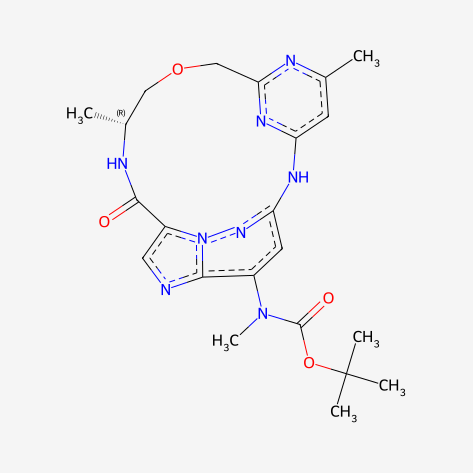 Cc1cc2nc(n1)COC[C@@H](C)NC(=O)c1cnc3c(N(C)C(=O)OC(C)(C)C)cc(nn13)N2